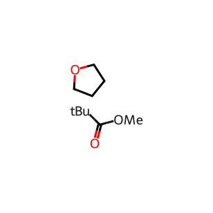 C1CCOC1.COC(=O)C(C)(C)C